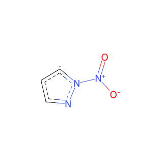 O=[N+]([O-])n1[c]ccn1